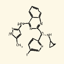 Cc1cc(Nc2nc([C@H](NC3CC3)c3ccc(F)cn3)nc3ccccc23)n[nH]1